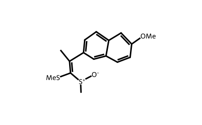 COc1ccc2cc(C(C)=C(SC)[S+](C)[O-])ccc2c1